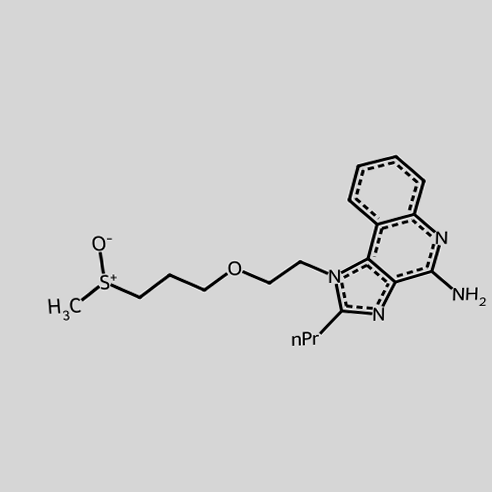 CCCc1nc2c(N)nc3ccccc3c2n1CCOCCC[S+](C)[O-]